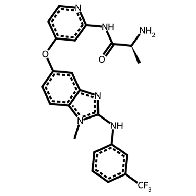 C[C@H](N)C(=O)Nc1cc(Oc2ccc3c(c2)nc(Nc2cccc(C(F)(F)F)c2)n3C)ccn1